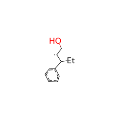 CCC([CH]CO)c1ccccc1